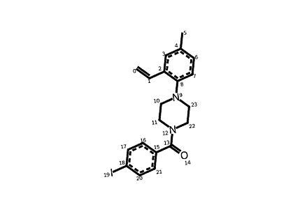 C=Cc1cc(C)ccc1N1CCN(C(=O)c2ccc(I)cc2)CC1